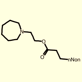 CCCCCCCCCCCC(=O)OCCN1CCCCCC1